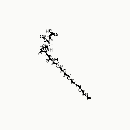 CCOCCOCCOCCOCCOCCOCCNC(=O)CC[C@H](NC(=O)N[C@@H](CCC(=O)O)OC=O)C(=O)O